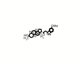 COc1ccc2nnn(CC(=O)[C@H]3CC[C@H]4[C@@H]5CC[C@H]6C[C@](C)(O)CC[C@]6(C)[C@H]5CC[C@]34C)c2c1